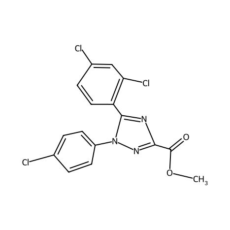 COC(=O)c1nc(-c2ccc(Cl)cc2Cl)n(-c2ccc(Cl)cc2)n1